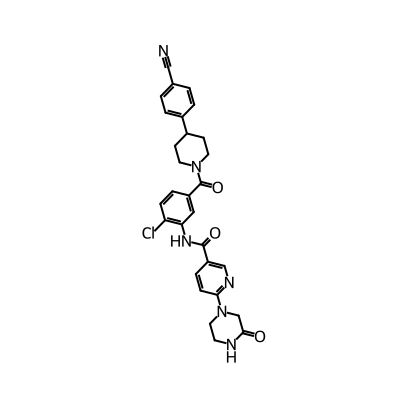 N#Cc1ccc(C2CCN(C(=O)c3ccc(Cl)c(NC(=O)c4ccc(N5CCNC(=O)C5)nc4)c3)CC2)cc1